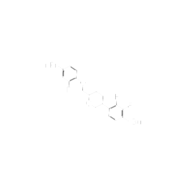 CCCCc1ccc(C2CCC(COc3ccc(CCC)cc3F)OC2)c(F)c1F